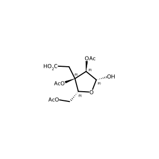 CC(=O)OC[C@H]1O[C@@H](O)[C@H](OC(C)=O)[C@]1(CC(=O)O)OC(C)=O